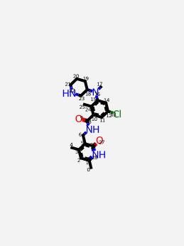 Cc1cc(C)c(CNC(=O)c2cc(Cl)cc(N(C)C3CCCNC3)c2C)c(=O)[nH]1